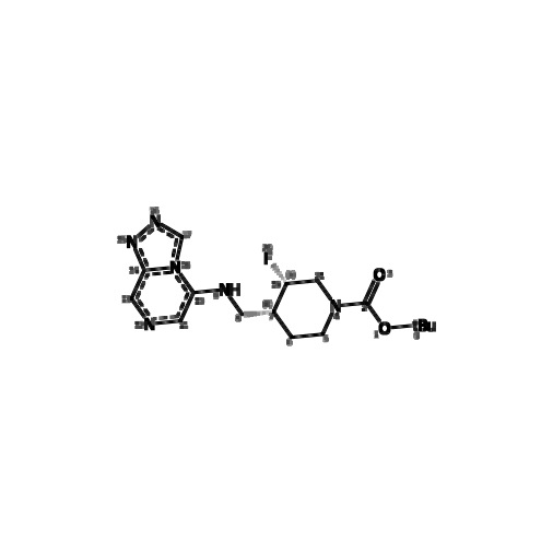 CC(C)(C)OC(=O)N1CC[C@H](CNc2cncc3nncn23)[C@H](F)C1